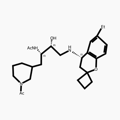 CCc1ccc2c(c1)[C@@H](NC[C@@H](O)[C@H](CC1CCCN(C(C)=O)C1)NC(C)=O)CC1(CCC1)O2